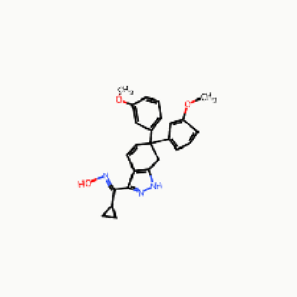 COc1cccc(C2(c3cccc(OC)c3)C=Cc3c(C(=NO)C4CC4)n[nH]c3C2)c1